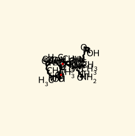 COc1cc2cc(c1Cl)N(C)C(=O)C[C@H](OC(=O)[C@H](C)N(C)C(=O)c1ccc(NC(=O)[C@H](CCCNC(N)=O)NC(=O)[C@@H](NC(=S)NCCCCN3C(=O)C=CC3O)C(C)C)c(O)c1)[C@]1(C)O[C@H]1[C@H](C)[C@@H]1C[C@@](O)(NC(=O)O1)[C@H](OC)/C=C/C=C(\C)C2